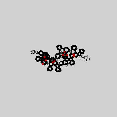 CC(C)(C)c1ccc2c(c1)C1(c3ccccc3-c3ccc(N(c4ccccc4-c4cccc5c4-c4ccccc4C5(C)Cc4ccc(C5(c6ccccc6)c6ccccc6-c6ccc(N(c7ccccc7-c7cccc8c7-c7ccccc7C8(C)C)C7C=CC(c8ccccc8-n8c9ccccc9c9ccccc98)=CC7)cc65)cc4)c4ccccc4-n4c5ccccc5c5ccccc54)cc31)c1cc(C(C)(C)C)ccc1-2